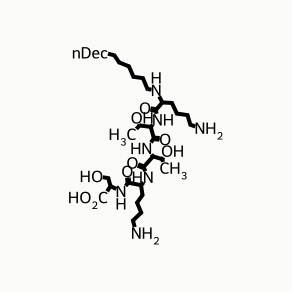 CCCCCCCCCCCCCCCCNC(CCCCN)C(=O)NC(C(=O)NC(C(=O)NC(CCCCN)C(=O)NC(CO)C(=O)O)C(C)O)C(C)O